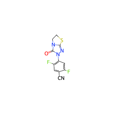 N#Cc1cc(F)c(-n2nc3n(c2=O)CCS3)cc1F